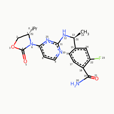 CC(C)[C@H]1COC(=O)N1c1ccnc(N[C@@H](C)c2ccc(C(N)=O)c(F)c2)n1